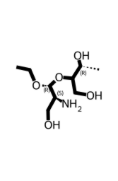 CCO[C@H](OC(CO)[C@@H](C)O)[C@@H](N)CO